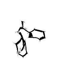 C[C@H](N=C1CN2CCC1CC2)c1ccccc1